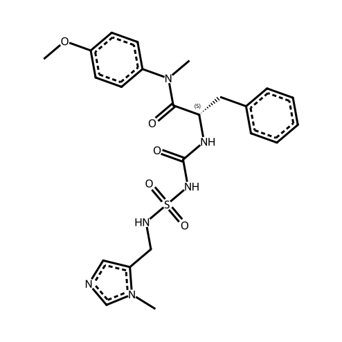 COc1ccc(N(C)C(=O)[C@H](Cc2ccccc2)NC(=O)NS(=O)(=O)NCc2cncn2C)cc1